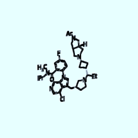 CCC([C@H]1C[C@@H](N2CC3CN(C(C)=O)C[C@@H]3C2)C1)N1CC[C@@H](Cc2cn(-c3ccc(F)cc3C(=O)N(C)C(C)C)c3cncc(Cl)c23)C1